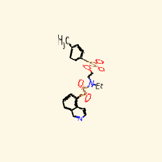 CCN(CCOS(=O)(=O)c1ccc(C)cc1)S(=O)(=O)c1cccc2cnccc12